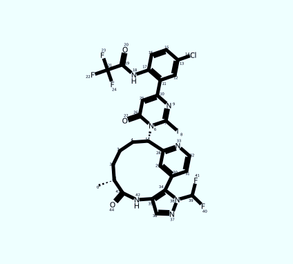 C[C@@H]1CCC[C@H](n2c(I)nc(-c3cc(Cl)ccc3NC(=O)C(F)(F)F)cc2=O)c2cc(ccn2)-c2c(cnn2C(F)F)NC1=O